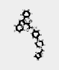 O=C(Nc1ccc(N2CCN(Cc3cccs3)CC2)cc1)C(=O)c1c(-c2ccccc2)cc2ccccn12